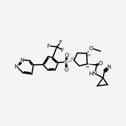 CO[C@H]1C[C@@H](S(=O)(=O)c2ccc(-c3ccnnc3)cc2C(F)(F)F)C[C@@H]1C(=O)NC1(C#N)CC1